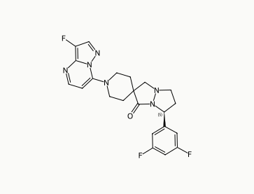 O=C1N2[C@H](c3cc(F)cc(F)c3)CCN2CC12CCN(c1ccnc3c(F)cnn13)CC2